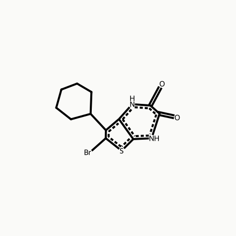 O=c1[nH]c2sc(Br)c(C3CCCCC3)c2[nH]c1=O